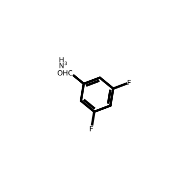 N.O=Cc1cc(F)cc(F)c1